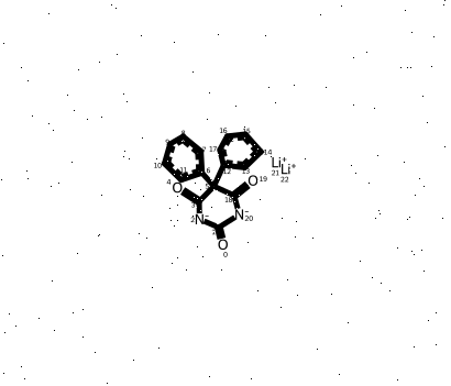 O=C1[N-]C(=O)C(c2ccccc2)(c2ccccc2)C(=O)[N-]1.[Li+].[Li+]